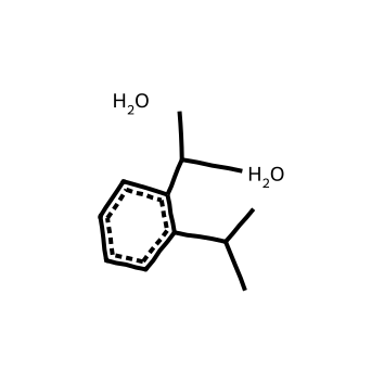 CC(C)c1ccccc1C(C)C.O.O